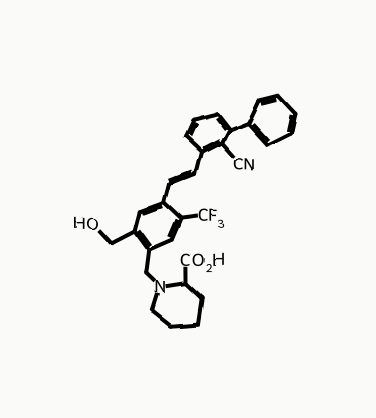 N#Cc1c(C=Cc2cc(CO)c(CN3CCCCC3C(=O)O)cc2C(F)(F)F)cccc1-c1ccccc1